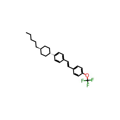 CCCCC[C@H]1CC[C@H](c2ccc(C=Cc3ccc(OC(F)(F)F)cc3)cc2)CC1